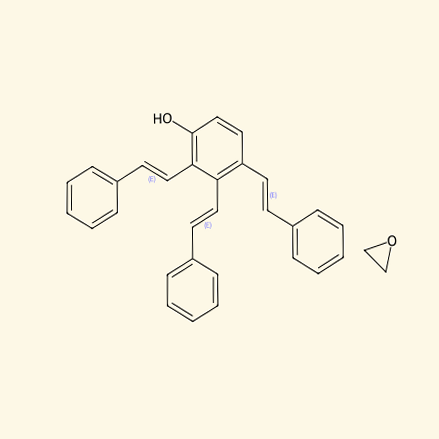 C1CO1.Oc1ccc(/C=C/c2ccccc2)c(/C=C/c2ccccc2)c1/C=C/c1ccccc1